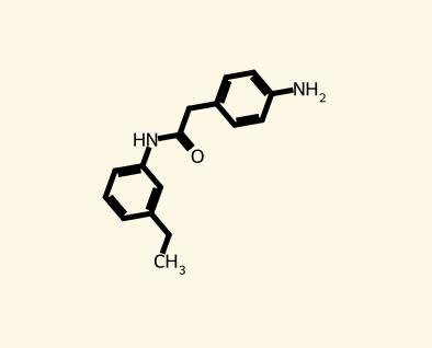 CCc1cccc(NC(=O)Cc2ccc(N)cc2)c1